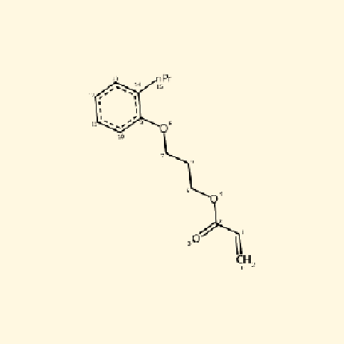 C=CC(=O)OCCCOc1ccccc1CCC